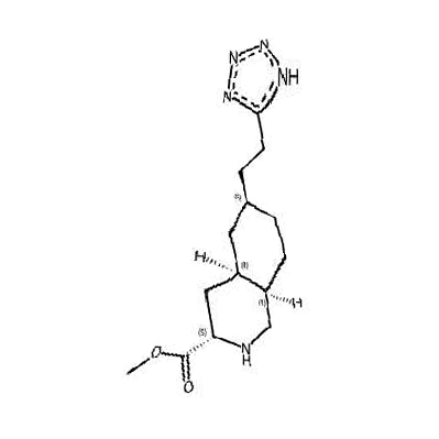 COC(=O)[C@@H]1C[C@H]2C[C@@H](CCc3nnn[nH]3)CC[C@H]2CN1